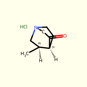 C[C@H]1CN2CC[C@@H]1C(=O)C2.Cl